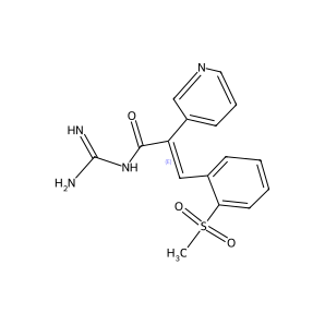 CS(=O)(=O)c1ccccc1/C=C(/C(=O)NC(=N)N)c1cccnc1